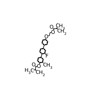 C=C(C)C(=O)OCCOc1ccc(-c2ccc(-c3ccc(OC(=O)C(=C)C)c(C)c3)c(F)c2)cc1